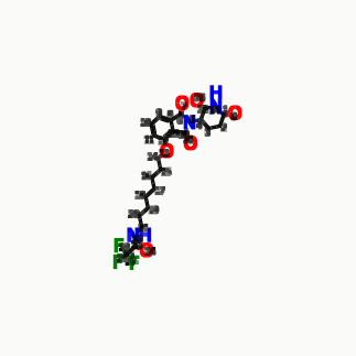 O=C1CCC(N2C(=O)c3cccc(OCCCCCCCCNC(=O)C(F)(F)F)c3C2=O)C(=O)N1